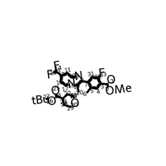 COC(=O)c1cc(C)c(-c2nc3cc(C(F)F)ccn3c2C[C@H]2CC(C(=O)OC(C)(C)C)CCO2)cc1F